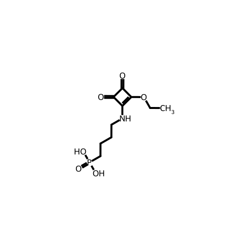 CCOc1c(NCCCCP(=O)(O)O)c(=O)c1=O